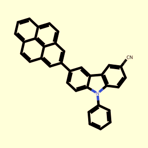 N#Cc1ccc2c(c1)c1cc(-c3cc4ccc5cccc6ccc(c3)c4c56)ccc1n2-c1ccccc1